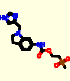 CS(=O)(=O)CCOC(=O)Nc1ccc2c(c1)N(Cc1c[nH]cn1)CC2